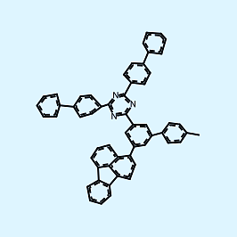 Cc1ccc(-c2cc(-c3nc(-c4ccc(-c5ccccc5)cc4)nc(-c4ccc(-c5ccccc5)cc4)n3)cc(-c3ccc4c5c(cccc35)-c3ccccc3-4)c2)cc1